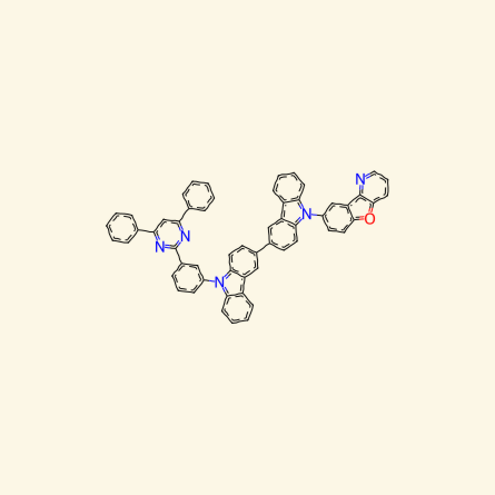 c1ccc(-c2cc(-c3ccccc3)nc(-c3cccc(-n4c5ccccc5c5cc(-c6ccc7c(c6)c6ccccc6n7-c6ccc7oc8cccnc8c7c6)ccc54)c3)n2)cc1